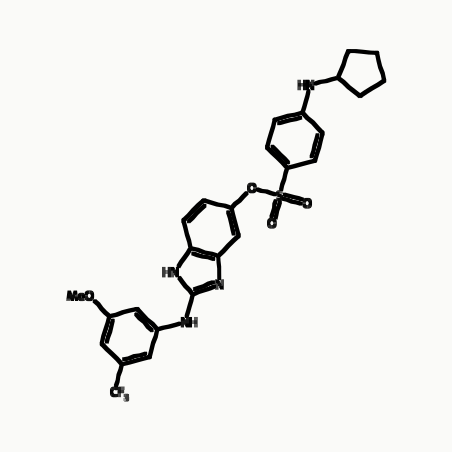 COc1cc(Nc2nc3cc(OS(=O)(=O)c4ccc(NC5CCCC5)cc4)ccc3[nH]2)cc(C(F)(F)F)c1